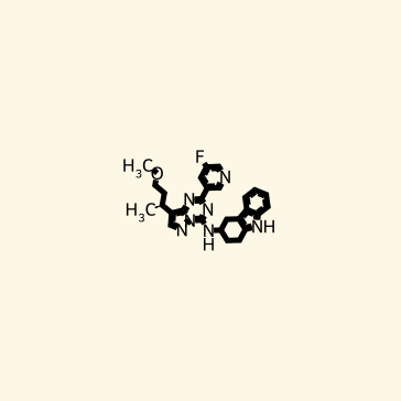 COCC[C@@H](C)c1cnn2c(NC3CCc4[nH]c5ccccc5c4C3)nc(-c3cncc(F)c3)nc12